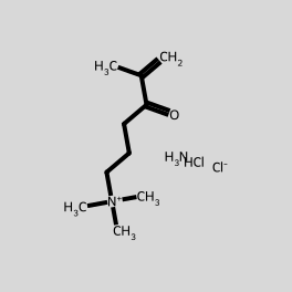 C=C(C)C(=O)CCC[N+](C)(C)C.Cl.N.[Cl-]